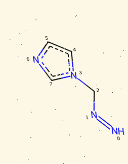 N=NCn1ccnc1